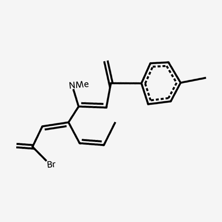 C=C(Br)/C=C(\C=C/C)C(=C/C(=C)c1ccc(C)cc1)/NC